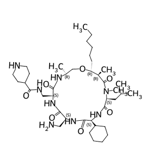 CCCCCC[C@H]1OC[C@@H](C)NC(=O)[C@H](CNC(=O)C2CCNCC2)NC(=O)[C@H](CN)NC(=O)[C@H](C2CCCCC2)NC(=O)[C@H](CC(C)C)N(C)C(=O)[C@@H]1C